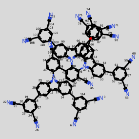 N#Cc1cc(C#N)cc(-c2ccc3c(c2)c2cc(-c4cc(C#N)cc(C#N)c4)ccc2n3-c2ccc(C#N)cc2-c2ccc(C#N)c(-n3c4ccc(-c5cc(C#N)cc(C#N)c5)cc4c4cc(-c5cc(C#N)cc(C#N)c5)ccc43)c2-n2c3ccc(-c4cc(C#N)cc(C#N)c4)cc3c3cc(-c4cc(C#N)cc(C#N)c4)ccc32)c1